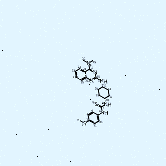 CSc1ccc(NC(=S)N[C@H]2CC[C@@H](Nc3nc(N(C)C)c4ccccc4n3)CC2)cc1